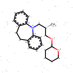 C[C@H](COC1CCCCO1)CN1c2ccccc2CCc2ccccc21